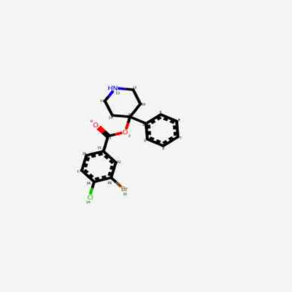 O=C(OC1(c2ccccc2)CCNCC1)c1ccc(Cl)c(Br)c1